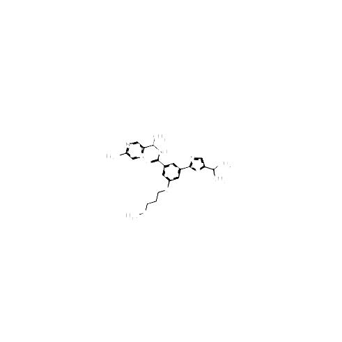 COCCCOc1cc(C(=O)N[C@H](C)c2cnc(C)cn2)cc(-c2ncc(C(C)C)s2)c1